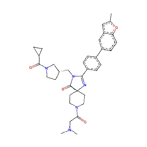 Cc1cc2cc(-c3ccc(C4=NC5(CCN(C(=O)CN(C)C)CC5)C(=O)N4C[C@@H]4CCN(C(=O)C5CC5)C4)cc3)ccc2o1